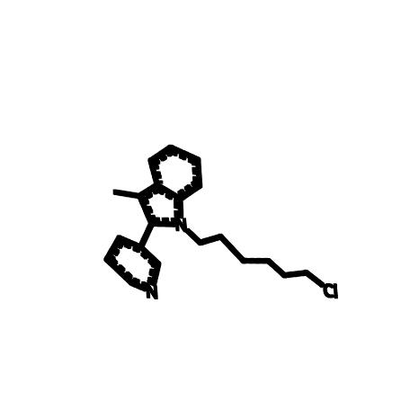 Cc1c(-c2cccnc2)n(CCCCCCCl)c2ccccc12